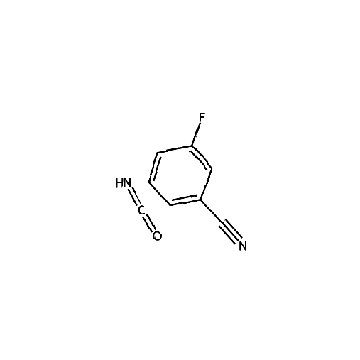 N#Cc1cccc(F)c1.N=C=O